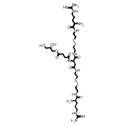 N=C(N)NCCCC(N)C(=O)NCCSSCCNC(=O)CC(NC(=O)CCC(=O)OC[C@H](O)CO)C(=O)NCCSSCCNC(=O)C(N)CCCNC(=N)N